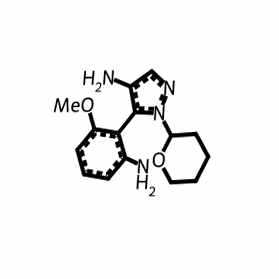 COc1cccc(N)c1-c1c(N)cnn1C1CCCCO1